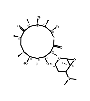 CC[C@H]1OC(=O)[C@H](C)[C@@H](O[C@H]2CC(N(C)C)[C@@H]3OC3O2)[C@H](C)[C@@H](O)[C@@H](C)C[C@@H](C)C(=O)[C@H](C)[C@@H](O)[C@H]1C